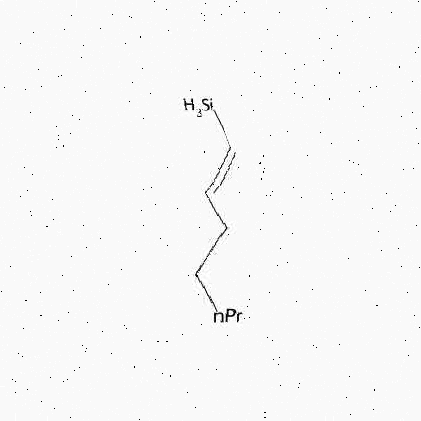 CCCCCC=C[SiH3]